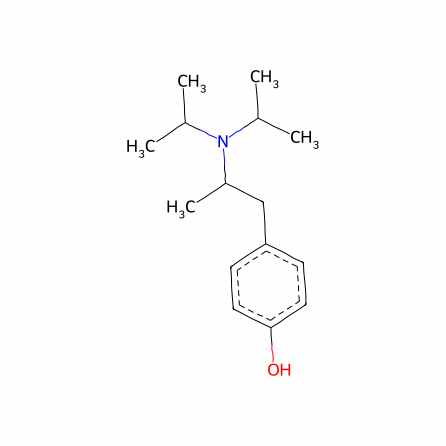 CC(C)N(C(C)C)C(C)Cc1ccc(O)cc1